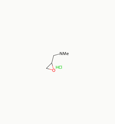 CNCC1CO1.Cl